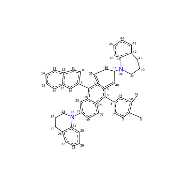 Cc1ccc(-c2c3c(c(-c4ccc5ccccc5c4)c4cc(N5CCCc6ccccc65)ccc24)=CCC(N2CCCc4ccccc42)C=3)cc1C